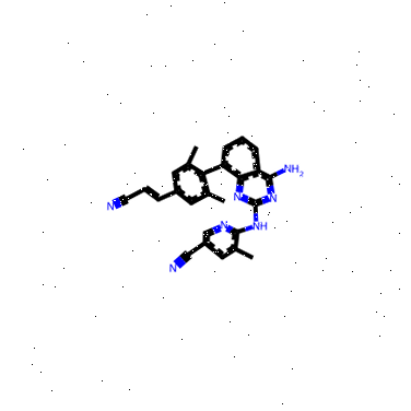 Cc1cc(C#N)cnc1Nc1nc(N)c2cccc(-c3c(C)cc(C=CC#N)cc3C)c2n1